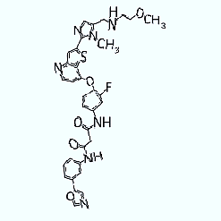 COCCNCc1cnc(-c2cc3nccc(Oc4ccc(NC(=O)CC(=O)Nc5cccc(-c6cnco6)c5)cc4F)c3s2)n1C